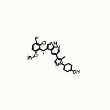 Cc1c(-c2cnc3[nH]cc([C@H](C)c4c(OC(C)C)ccc(F)c4Cl)c3c2)cnn1C1CCC(O)CC1